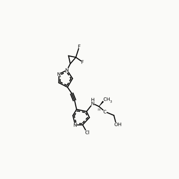 C[C@@H](CCO)Nc1cc(Cl)ncc1C#Cc1cnn(C2CC2(F)F)c1